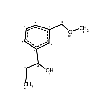 CCC(O)c1cccc(COC)c1